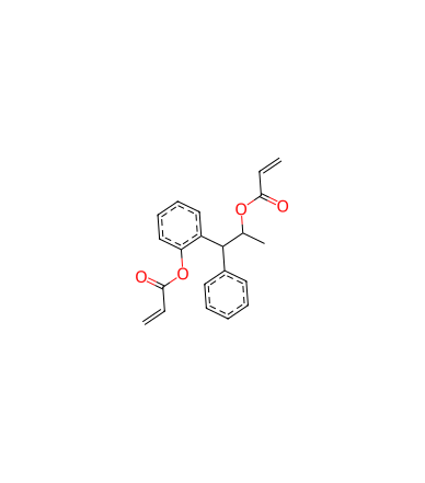 C=CC(=O)Oc1ccccc1C(c1ccccc1)C(C)OC(=O)C=C